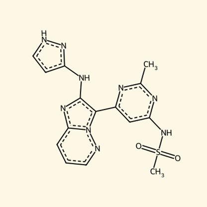 Cc1nc(NS(C)(=O)=O)cc(-c2c(Nc3cc[nH]n3)nc3cccnn23)n1